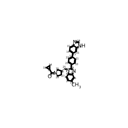 Cc1ccc2c(c1)nc(-c1ccc(-c3ccc4nc[nH]c4c3)cc1)n2C[C@@H]1CCN(C(=O)C2CC2)C1